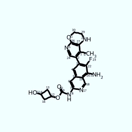 Cc1c(-c2cc3cc(NC(=O)OC4CC(O)C4)ncc3c(N)c2F)cnc2c1NCCO2